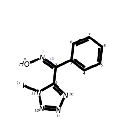 O/N=C(/c1ccccc1)c1nnnn1I